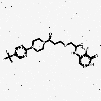 CC(COCCC(=O)N1CCN(c2ncc(C(F)(F)F)cn2)CC1)Nc1cn[nH]c(=O)c1Br